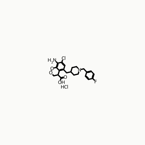 Cl.Nc1c(Cl)cc(CC2CCN(Cc3ccc(F)cc3)CC2)c2c1OOCC2C(=O)O